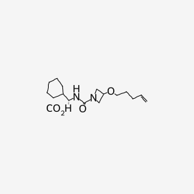 C=CCCCOC1CN(C(=O)N[C@H](C(=O)O)C2CCCCC2)C1